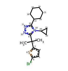 CC(C)(c1ccc(Br)s1)c1nnc(C2CCCCC2)n1C1CC1